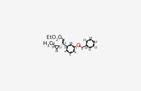 CCOC(=O)/C=C(/c1cccc(OCc2ccccc2)c1)[C@@H]1C[C@H]1C